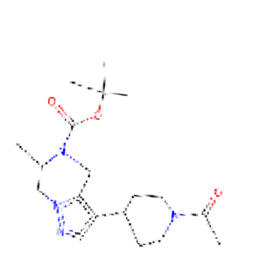 CC(=O)N1CCC(c2cnn3c2CN(C(=O)OC(C)(C)C)C(C)C3)CC1